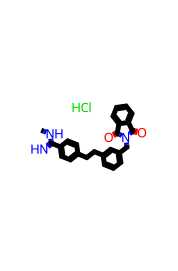 CNC(=N)c1ccc(CCc2cccc(CN3C(=O)c4ccccc4C3=O)c2)cc1.Cl